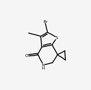 Cc1c(Br)sc2c1C(=O)NCC21CC1